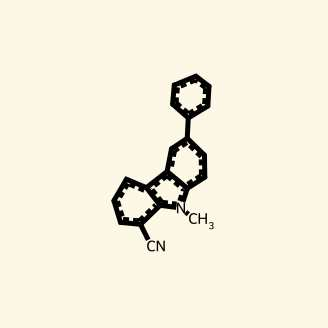 Cn1c2ccc(-c3ccccc3)cc2c2cccc(C#N)c21